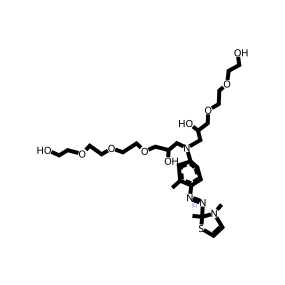 Cc1cc(N(CC(O)COCCOCCO)CC(O)COCCOCCOCCO)ccc1/N=N/C1(C)SC=CN1C